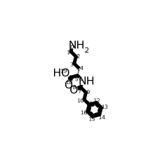 NCCCC[C@H](NC(=O)CCc1ccccc1)C(=O)O